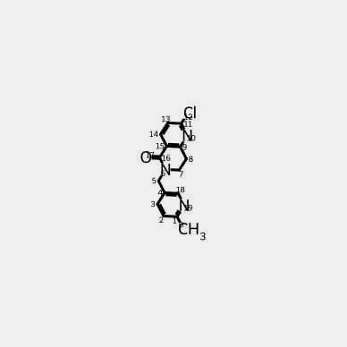 Cc1ccc(CN2CCc3nc(Cl)ccc3C2=O)cn1